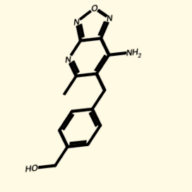 Cc1nc2nonc2c(N)c1Cc1ccc(CO)cc1